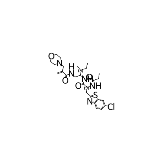 C=C(CN1CCOCC1)C(=O)NCC(NC(=O)[C@H](Cc1nc2ccc(Cl)cc2s1)NC(=O)CC)[C@@H](C)CC